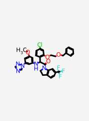 COc1cc(NC(C(=O)N2CCc3ccc(C(F)(F)F)cc32)c2ccc(Cl)cc2OCCOCc2ccccc2)cc(-n2cncn2)c1